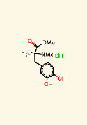 CNC(C)(Cc1ccc(O)c(O)c1)C(=O)OC.Cl